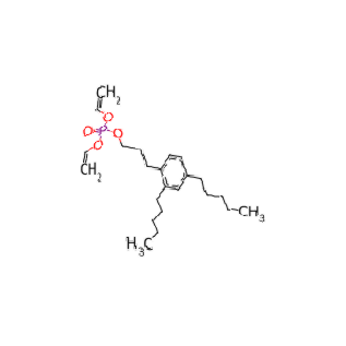 C=COP(=O)(OC=C)OCCCc1ccc(CCCCC)cc1CCCCC